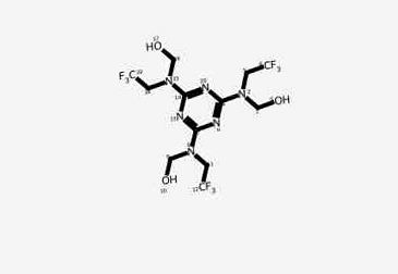 OCN(CC(F)(F)F)c1nc(N(CO)CC(F)(F)F)nc(N(CO)CC(F)(F)F)n1